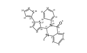 CN1c2ccccc2C(=O)N(c2ccccc2)C1c1ccc(-c2cccs2)s1